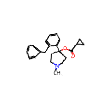 CN1CCC(OC(=O)C2CC2)(c2ccccc2Cc2ccccc2)CC1